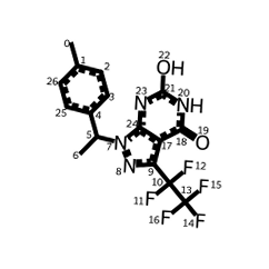 Cc1ccc(C(C)n2nc(C(F)(F)C(F)(F)F)c3c(=O)[nH]c(O)nc32)cc1